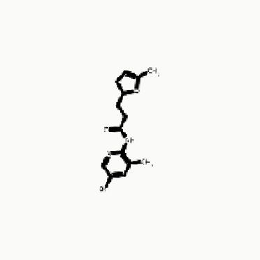 CC1=CCC(CCC(=O)Nc2ncc(Br)cc2C)O1